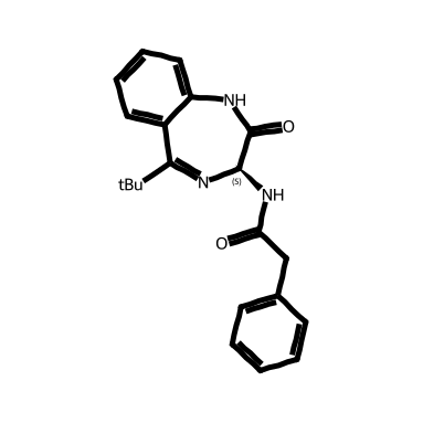 CC(C)(C)C1=N[C@H](NC(=O)Cc2ccccc2)C(=O)Nc2ccccc21